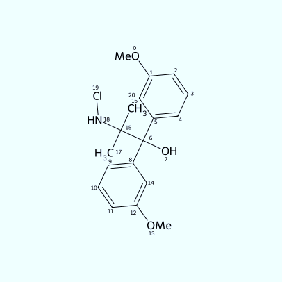 COc1cccc(C(O)(c2cccc(OC)c2)C(C)(C)NCl)c1